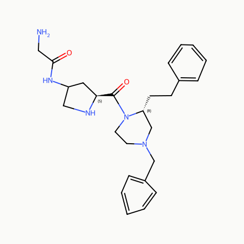 NCC(=O)NC1CN[C@H](C(=O)N2CCN(Cc3ccccc3)C[C@H]2CCc2ccccc2)C1